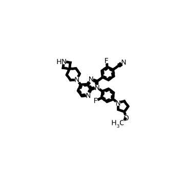 COC1CCN(c2ccc(-n3c(-c4ccc(C#N)c(F)c4)nc4c(N5CCC6(CC5)CNC6)ccnc43)c(F)c2)C1